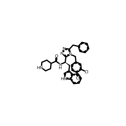 O=C(N[C@H](Cc1c[nH]c2ccccc12)c1nnc(Cc2ccccc2)n1Cc1ccc(Cl)c(Cl)c1)C1CCNCC1